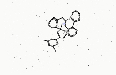 C/C(=C\c1ccccc1-c1ccccn1)Cc1ccccc1C1(C)C=C(c2cc(C)cc(C)c2)C=CN1